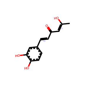 C/C(O)=C/C(=O)/C=C/c1ccc(O)c(O)c1